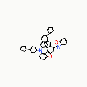 c1ccc(-c2ccc(N(c3ccc4cc(-c5ccccc5)ccc4c3)c3cccc4oc5cc(-c6nc7ccccc7o6)c6ccccc6c5c34)cc2)cc1